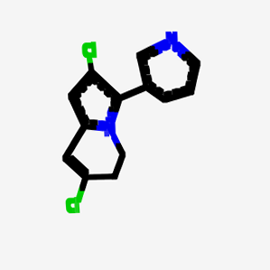 ClC1=Cc2cc(Cl)c(-c3cccnc3)n2CC1